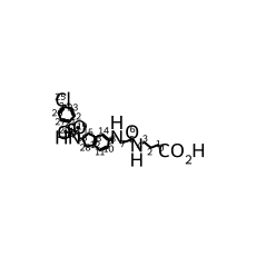 O=C(O)CCCNC(=O)CNc1ccc2c(c1)CC(NS(=O)(=O)c1ccc(Cl)cc1)C2